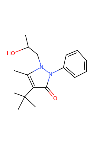 Cc1c(C(C)(C)C)c(=O)n(-c2ccccc2)n1CC(C)O